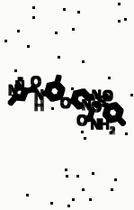 Cc1ccc(S(=O)(=O)N=c2ccc(Oc3cc(C)cc(NC(=O)c4cc(C)nn4C)c3)cn2CC(N)=O)cc1